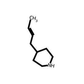 CC=CCC1CCNCC1